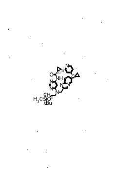 CC(C)(C)[Si](C)(C)OCCN(Cc1cn2cc(C3CC3)ccc2n1)c1cc(NC(=O)[C@H]2C[C@@H]2c2cc(Cl)ccn2)ncn1